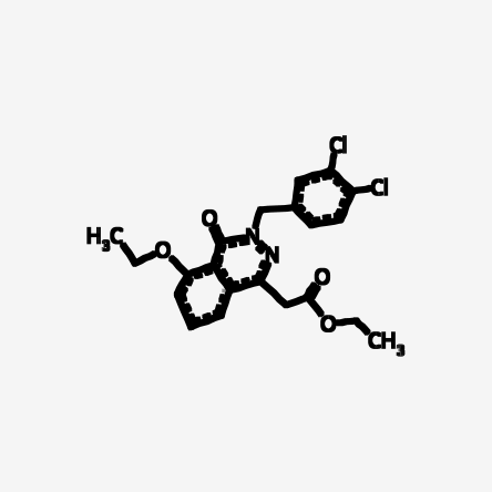 CCOC(=O)Cc1nn(Cc2ccc(Cl)c(Cl)c2)c(=O)c2c(OCC)cccc12